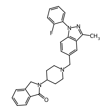 Cc1nn(-c2ccccc2F)c2ccc(CN3CCC(N4Cc5ccccc5C4=O)CC3)cc12